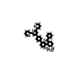 N=C1/C(=N\O)C=Cc2c(-c3ccccc3)nc3c(-c4ccc(-c5cc(-c6ccccn6)nc(-c6ccccn6)c5)cc4)cccc3c21